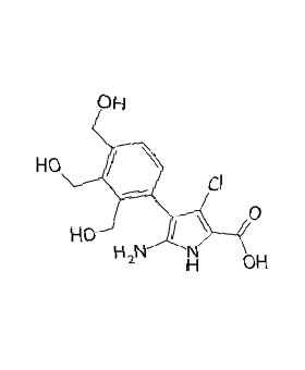 Nc1[nH]c(C(=O)O)c(Cl)c1-c1ccc(CO)c(CO)c1CO